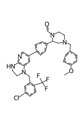 COc1ccc(CN2CCN(C=O)C(c3ccc(-c4cnc5c(c4)N(Cc4cc(Cl)ccc4C(F)(F)F)CCN5)cc3)C2)cc1